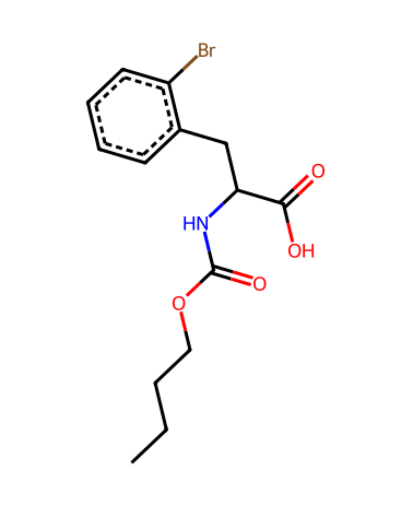 CCCCOC(=O)NC(Cc1ccccc1Br)C(=O)O